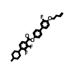 C=CCCOc1ccc(-c2ccc(OC(=O)c3ccc(C4CCC(C)CC4)c(F)c3F)cc2)cc1F